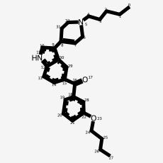 CCCCCN1CC=C(c2c[nH]c3ccc(C(=O)c4cccc(OCCCC)c4)cc23)CC1